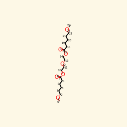 COCCCCCC(=O)OCCOCCOC(=O)CCCCCOC